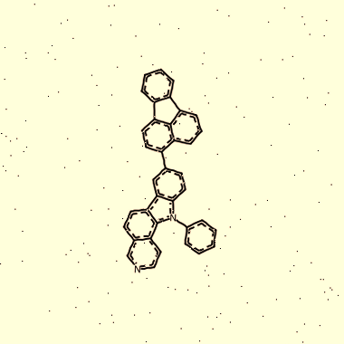 c1ccc(-n2c3ccc(-c4ccc5c6c(cccc46)-c4ccccc4-5)cc3c3ccc4cnccc4c32)cc1